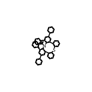 O=c1c2ccccc2c2cc(-c3ccccc3)cc3c2n1-c1c(-c2ccccc2)cc(-c2ccccc2)cc1-c1ccccc1Sc1ccccc1-3